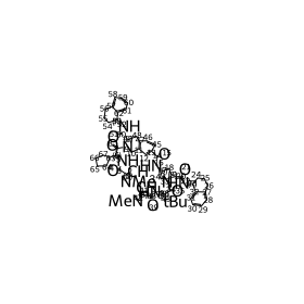 CN[C@@H](C)C(=O)N[C@H](C(=O)N1Cc2cc(C(=O)N[C@H]3C[C@@H](C(=O)N[C@@H]4CCCc5ccccc54)N(C(=O)[C@@H](NC(=O)[C@H](C)NC)C(C)(C)C)C3)ccc2C[C@H]1C(=O)N[C@@H]1CCCc2ccccc21)C1CCCC1